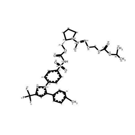 Cc1ccc(-c2cc(C(F)(F)F)nn2-c2ccc(S(=O)(=O)NC(=O)OC[C@@H]3CCCN3[N+]([O-])=NOCOC(=O)OC(C)C)cc2)cc1